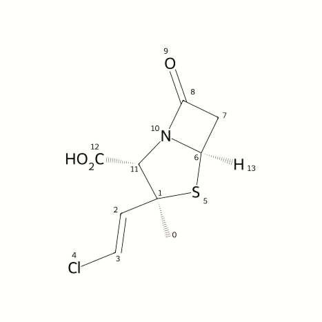 C[C@@]1(C=CCl)S[C@@H]2CC(=O)N2[C@H]1C(=O)O